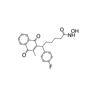 CC1=C(C(CCCCC(=O)NO)c2ccc(F)cc2)C(=O)c2ccccc2C1=O